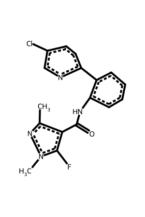 Cc1nn(C)c(F)c1C(=O)Nc1ccccc1-c1ccc(Cl)cn1